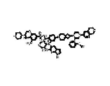 CC(C)Oc1ccccc1[C@@H]1CN(c2cnc3c(c2)CCOC3)CCN1C1CC2(CCN(c3ccc(C(=O)NS(=O)(=O)c4cc5c(c([N+](=O)[O-])c4)N[C@H](C4CCOCC4)CO5)c(N4c5cc6cc[nH]c6nc5O[C@H]5COCC[C@@H]54)c3)CC2)C1